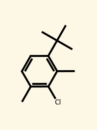 Cc1ccc(C(C)(C)C)c(C)c1Cl